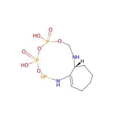 O=P1(O)OCN[C@@H]2CCCCC=C2NPOP(=O)(O)O1